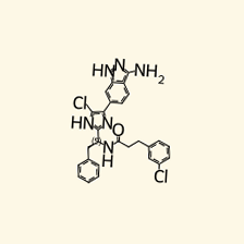 Nc1n[nH]c2cc(-c3nc([C@H](Cc4ccccc4)NC(=O)CCc4cccc(Cl)c4)[nH]c3Cl)ccc12